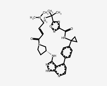 CN(C)C/C=C/C(=O)N1CC[C@@H](Nc2n[nH]c3nccc(-c4ccc(C5(NC(=O)c6noc(C(C)(C)C)n6)CC5)cc4)c23)C1